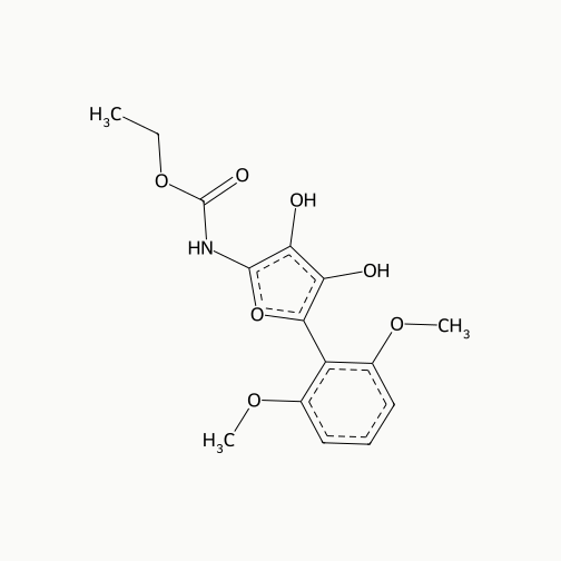 CCOC(=O)Nc1oc(-c2c(OC)cccc2OC)c(O)c1O